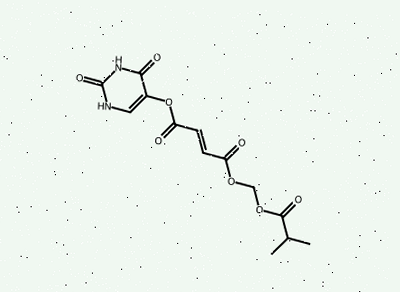 CC(C)C(=O)OCOC(=O)/C=C/C(=O)Oc1c[nH]c(=O)[nH]c1=O